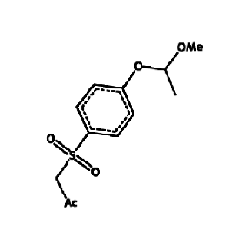 COC(C)Oc1ccc(S(=O)(=O)CC(C)=O)cc1